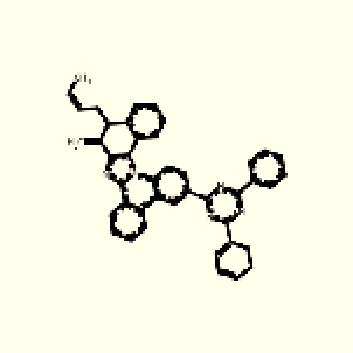 C=C1c2nc3c4ccccc4c4cc(-c5nc(C6=CC=CCC6)nc(-c6ccccc6)n5)ccc4n3c2-c2ccccc2C1C/C=C\C